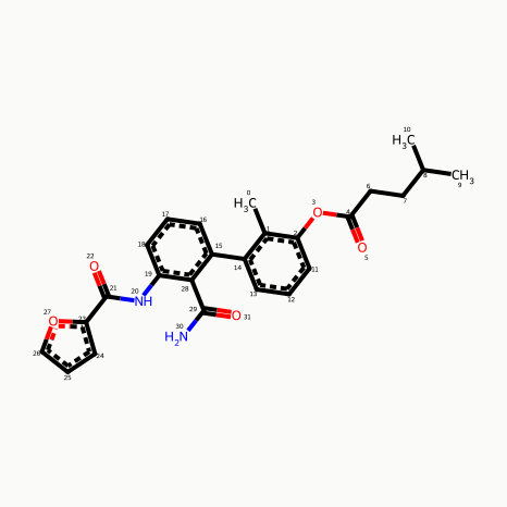 Cc1c(OC(=O)CCC(C)C)cccc1-c1cccc(NC(=O)c2ccco2)c1C(N)=O